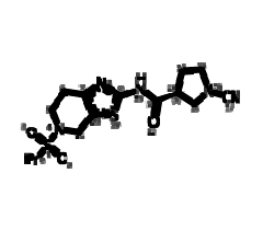 CC(C)S(=O)(=O)N1CCc2nc(NC(=O)[C@H]3CCN(C#N)C3)sc2C1